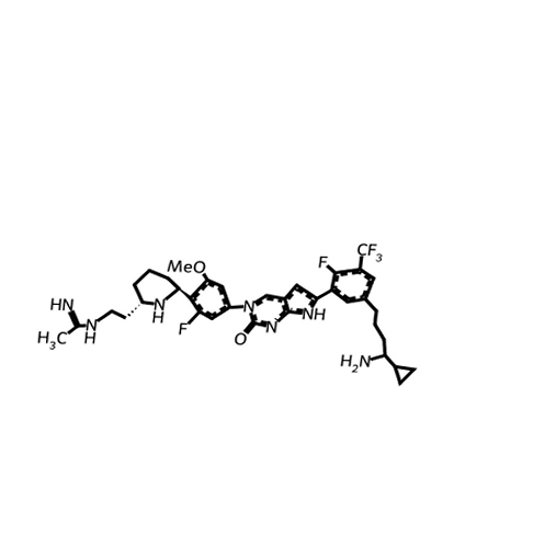 COc1cc(-n2cc3cc(-c4cc(CCCC(N)C5CC5)cc(C(F)(F)F)c4F)[nH]c3nc2=O)cc(F)c1[C@@H]1CCC[C@@H](CCNC(C)=N)N1